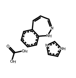 C1=Cc2ccccc2NN=C1.O=C(O)O.c1c[nH]cn1